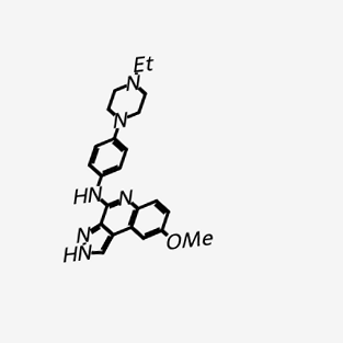 CCN1CCN(c2ccc(Nc3nc4ccc(OC)cc4c4c[nH]nc34)cc2)CC1